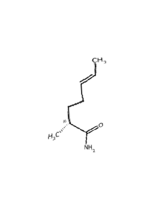 CC=CCC[C@@H](C)C(N)=O